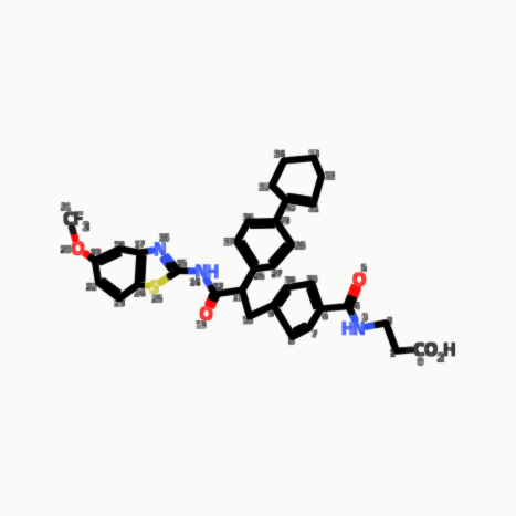 O=C(O)CCNC(=O)c1ccc(CC(C(=O)Nc2nc3cc(OC(F)(F)F)ccc3s2)c2ccc(C3=CCCCC3)cc2)cc1